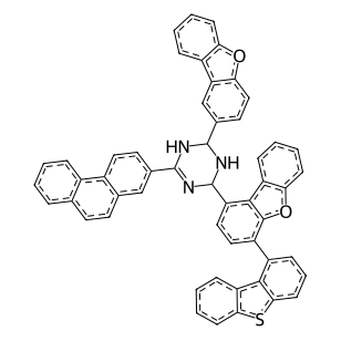 c1ccc2c(c1)ccc1cc(C3=NC(c4ccc(-c5cccc6sc7ccccc7c56)c5oc6ccccc6c45)NC(c4ccc5oc6ccccc6c5c4)N3)ccc12